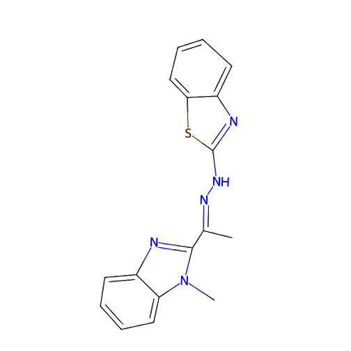 C/C(=N\Nc1nc2ccccc2s1)c1nc2ccccc2n1C